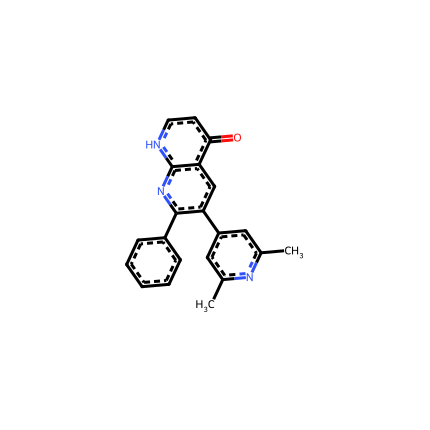 Cc1cc(-c2cc3c(=O)cc[nH]c3nc2-c2ccccc2)cc(C)n1